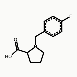 O=C(O)C1CCCN1Cc1ccc(F)cc1